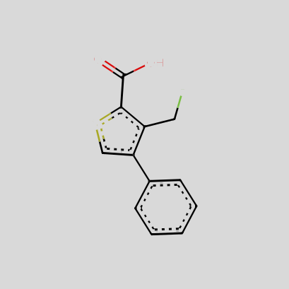 O=C(O)c1scc(-c2ccccc2)c1CF